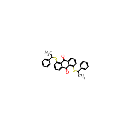 CC(Sc1cccc2c1C(=O)c1cccc(SC(C)c3ccccc3)c1C2=O)c1ccccc1